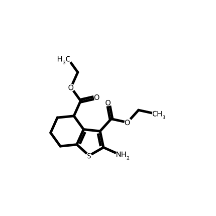 CCOC(=O)c1c(N)sc2c1C(C(=O)OCC)CCC2